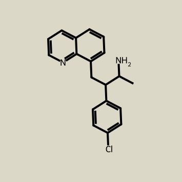 CC(N)C(Cc1cccc2cccnc12)c1ccc(Cl)cc1